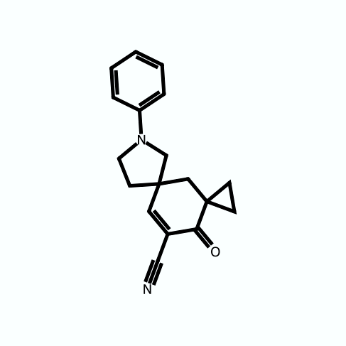 N#CC1=CC2(CCN(c3ccccc3)C2)CC2(CC2)C1=O